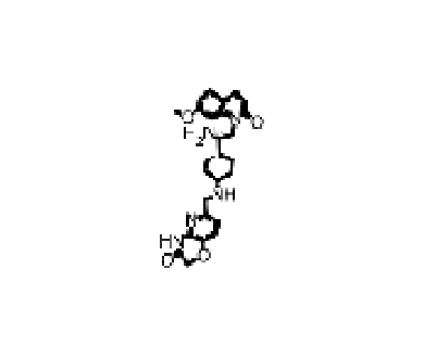 COc1ccc2ccc(=O)n(C[C@H](N)[C@H]3CC[C@H](NCc4ccc5c(n4)NC(=O)CO5)CC3)c2c1